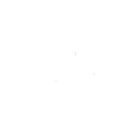 CCc1c(C(=O)O)noc1C